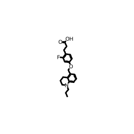 CCCN1CCCc2c(COc3ccc(CCC(=O)O)c(F)c3)cccc21